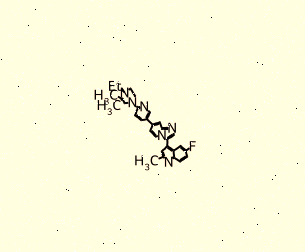 CCN1CCN(c2ccc(-c3ccn4c(-c5cc(C)nc6ccc(F)cc56)cnc4c3)cn2)CC1(C)C